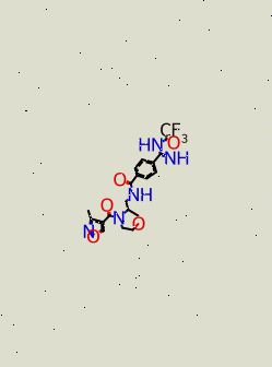 Cc1nocc1C(=O)N1CCOCC1CNC(=O)c1ccc(C(=N)NC(=O)C(F)(F)F)cc1